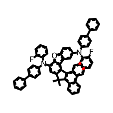 CC1(C)c2cc(N(c3ccc(-c4ccccc4)cc3)c3ccccc3F)c3oc4ccc(N(c5ccc(-c6ccccc6)cc5)c5ccccc5F)cc4c3c2-c2c1c1ccccc1c1ccccc21